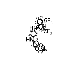 CC1(C)COC2(CCC(N[C@H]3CC[C@H](Nc4cc(C(F)(F)F)nc5c(C(F)(F)F)cccc45)CC3)CC2)OO1